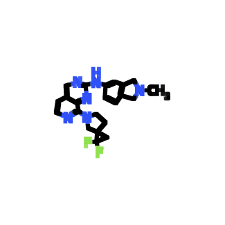 CN1Cc2ccc(Nc3ncc4ccnc(N5CCC6(C5)CC6(F)F)c4n3)cc2C1